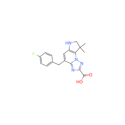 CC1(C)CNc2cc(Cc3ccc(F)cc3)c3nc(C(=O)O)nn3c21